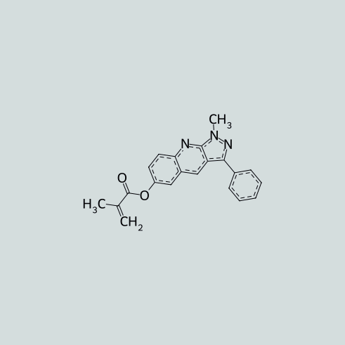 C=C(C)C(=O)Oc1ccc2nc3c(cc2c1)c(-c1ccccc1)nn3C